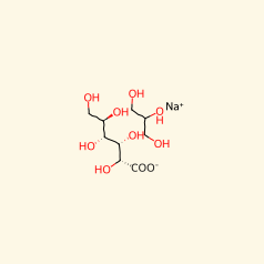 O=C([O-])[C@H](O)[C@@H](O)[C@H](O)[C@H](O)CO.OCC(O)CO.[Na+]